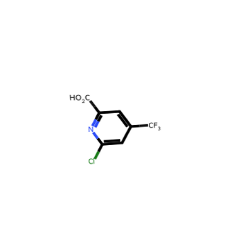 O=C(O)c1cc(C(F)(F)F)cc(Cl)n1